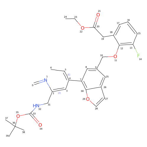 C=N/C(=C\C(=C/C)c1cc(COc2c(F)cccc2CC(=O)OCC)cc2ccoc12)CNC(=O)OC(C)(C)C